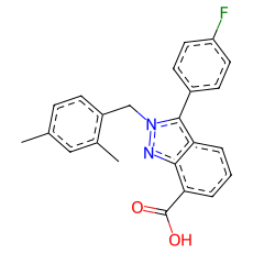 Cc1ccc(Cn2nc3c(C(=O)O)cccc3c2-c2ccc(F)cc2)c(C)c1